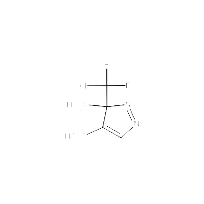 O=C(O)C1=CN=NC1(C(=O)O)C(F)(F)Cl